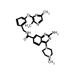 Cc1cnc(C)c(Oc2cccc(CNC(=O)c3ccc4c(N5CCN(C)CC5)nc(N)nc4c3)c2)n1